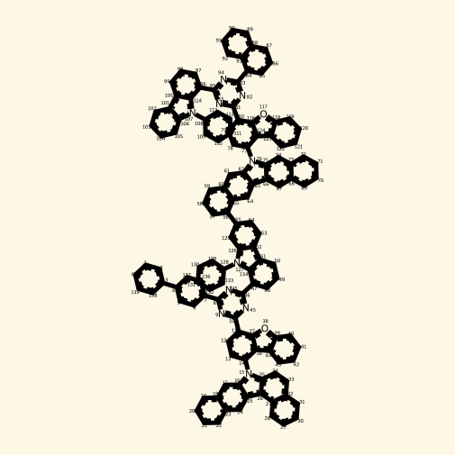 c1ccc(-c2ccc(-c3nc(-c4ccc(-n5c6cc7ccccc7cc6c6c7ccccc7ccc65)c5c4oc4ccccc45)nc(-c4cccc5c6ccc(-c7cccc8cc9c(cc78)c7cc8ccccc8cc7n9-c7ccc(-c8nc(-c9cccc%10ccccc9%10)nc(-c9cccc%10c%11ccccc%11n(-c%11ccccc%11)c9%10)n8)c8oc9ccccc9c78)cc6n(-c6ccccc6)c45)n3)cc2)cc1